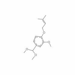 COc1cc(C(OC)OC)ccc1OCC=C(C)C